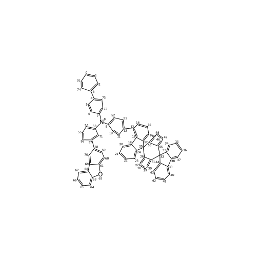 c1ccc(-c2ccc(N(c3ccc(-c4cccc5c4-c4ccccc4C54c5ccccc5C5(c6ccccc6-c6ccccc65)c5ccccc54)cc3)c3cccc(-c4ccc5oc6ccccc6c5c4)c3)cc2)cc1